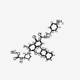 CC(C)(C)OC(=O)NC1CCN(c2c(F)cc3c(=O)c(C(=O)NCCc4ccc(N)cc4)cn4c3c2Oc2cc3ccccc3cc2-4)C1